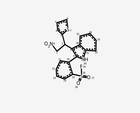 O=[N+]([O-])CC(c1cccs1)c1c(-c2ccccc2S(=O)(=O)F)[nH]c2ccccc12